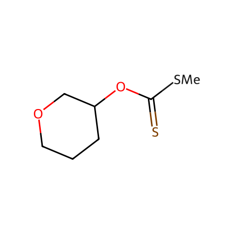 CSC(=S)OC1CCCOC1